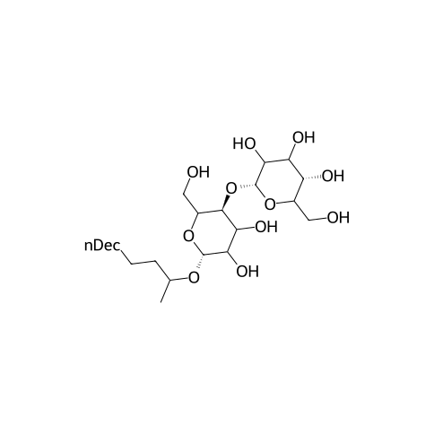 CCCCCCCCCCCCC(C)O[C@@H]1OC(CO)[C@@H](O[C@H]2OC(CO)[C@@H](O)C(O)C2O)C(O)C1O